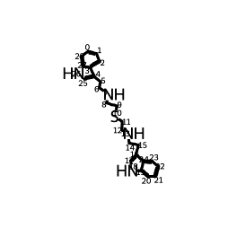 c1ccc2c(CCNCCSCCNCCc3c[nH]c4ccccc34)c[nH]c2c1